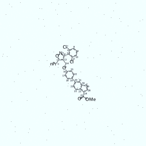 CCCc1onc(-c2c(Cl)cccc2Cl)c1COc1ccc(-c2ccc3c(C(=O)OC)csc3c2)cc1